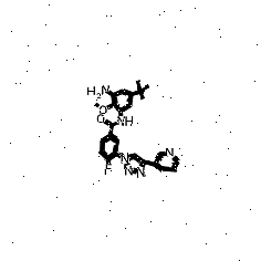 COc1c(N)cc(C(C)(C)C)cc1NC(=O)c1ccc(F)c(-n2cc(-c3cccnc3)nn2)c1